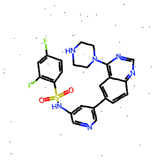 O=S(=O)(Nc1cncc(-c2ccc3ncnc(N4CCNCC4)c3c2)c1)c1ccc(F)cc1F